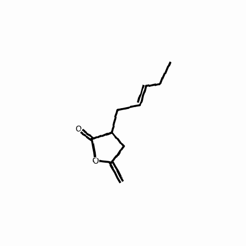 C=C1CC(C/C=C/CC)C(=O)O1